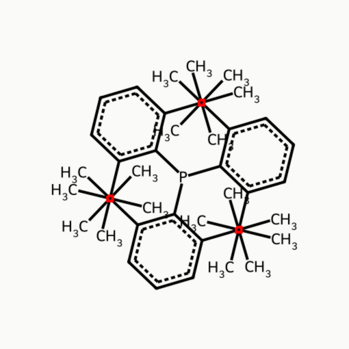 CC(C)(C)c1cccc(C(C)(C)C)c1P(c1c(C(C)(C)C)cccc1C(C)(C)C)c1c(C(C)(C)C)cccc1C(C)(C)C